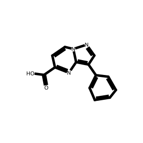 O=C(O)c1ccn2ncc(-c3ccccc3)c2n1